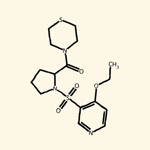 CCOc1ccncc1S(=O)(=O)N1CCCC1C(=O)N1CCSCC1